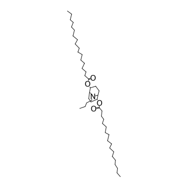 CCCCCCCCCCCCCCCCCC(=O)OC1CCC2C(OC(=O)CCCCCCCCCCCCCCCCC)CCC1N2CCCC